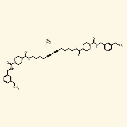 Cl.Cl.NCc1cccc(CNC(=O)N2CCN(C(=O)OCCCCC#CC#CCCCCOC(=O)N3CCN(C(=O)NCc4cccc(CN)c4)CC3)CC2)c1